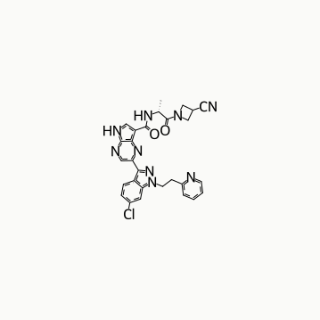 C[C@@H](NC(=O)c1c[nH]c2ncc(-c3nn(CCc4ccccn4)c4cc(Cl)ccc34)nc12)C(=O)N1CC(C#N)C1